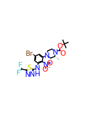 C[C@@H]1CN(c2cc(Br)cc(Nc3nnc(C(F)F)s3)c2[N+](=O)[O-])CCN1C(=O)OC(C)(C)C